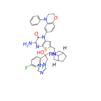 Nc1nc2sc(CNC3[C@@H]4CC[C@H]3CN(CC(O)(Cn3cncn3)c3ccc(F)cc3F)C4)cc2n(-c2ccc3c(c2)N(c2ccccc2)CCO3)c1=O